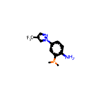 CP(C)c1cc(-n2cc(C(F)(F)F)cn2)ccc1N